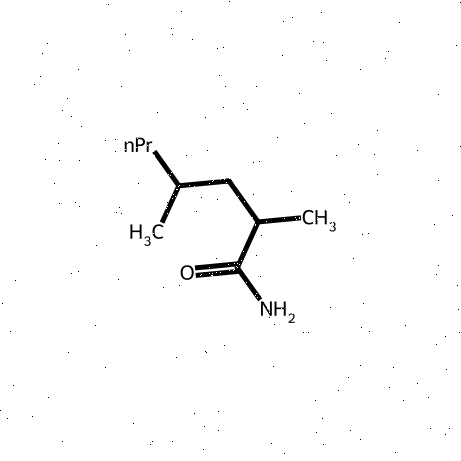 C[CH]CC(C)CC(C)C(N)=O